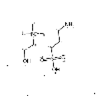 C[N+](C)(C)CCO.NCCCS(=O)(=O)O